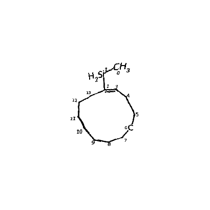 C[SiH2]C1=CCCCCCCCCCC1